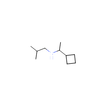 CC(C)CNC(C)C1CCC1